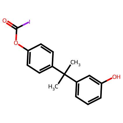 CC(C)(c1ccc(OC(=O)I)cc1)c1cccc(O)c1